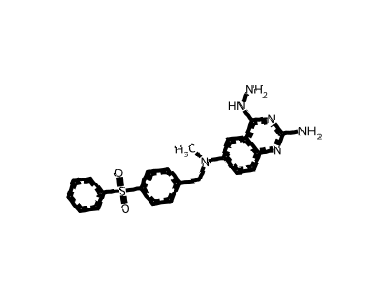 CN(Cc1ccc(S(=O)(=O)c2ccccc2)cc1)c1ccc2nc(N)nc(NN)c2c1